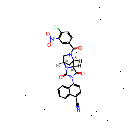 N#Cc1ccc(N2C(=O)[C@H]3[C@@H]4C[C@@H](CN4C(=O)c4ccc(Cl)c([N+](=O)[O-])c4)N3C2=O)c2ccccc12